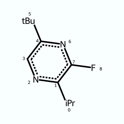 CC(C)c1ncc(C(C)(C)C)nc1F